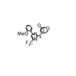 COc1ccccc1-c1cc(C(F)(F)F)nc(SC2CC(=O)C3OCC2O3)n1